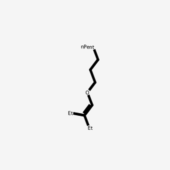 CCCCCCCCOC=C(CC)CC